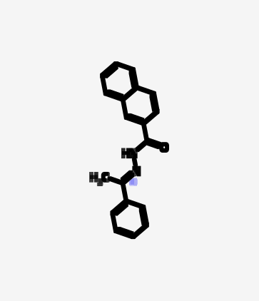 C/C(=N\NC(=O)c1ccc2ccccc2c1)c1ccccc1